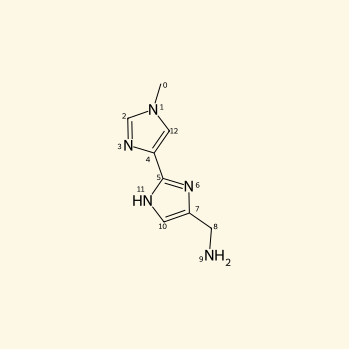 Cn1cnc(-c2nc(CN)c[nH]2)c1